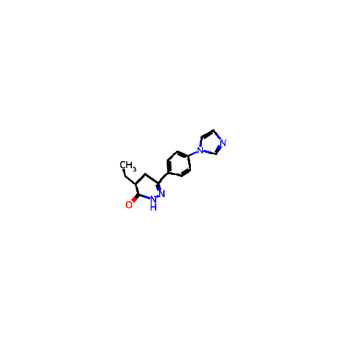 CCC1CC(c2ccc(-n3ccnc3)cc2)=NNC1=O